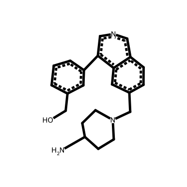 NC1CCN(Cc2ccc3cncc(-c4cccc(CO)c4)c3c2)CC1